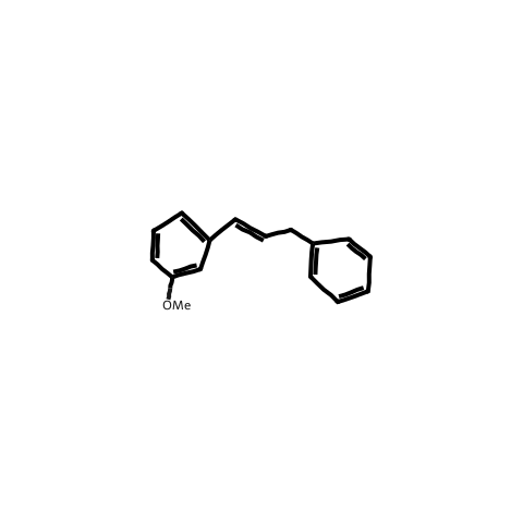 COc1cccc(C=CCc2ccccc2)c1